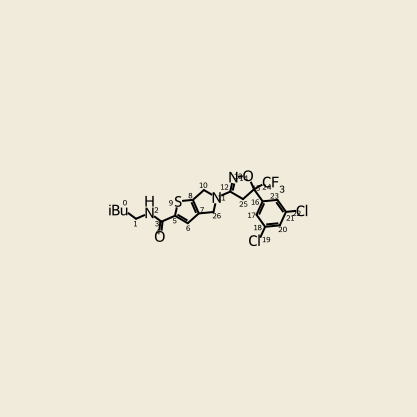 CCC(C)CNC(=O)c1cc2c(s1)CN(C1=NOC(c3cc(Cl)cc(Cl)c3)(C(F)(F)F)C1)C2